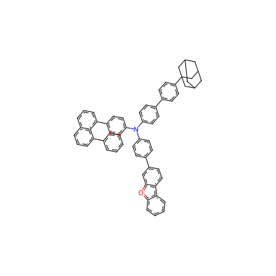 c1ccc(-c2cccc3cccc(-c4ccc(N(c5ccc(-c6ccc(C78CC9CC(CC(C9)C7)C8)cc6)cc5)c5ccc(-c6ccc7c(c6)oc6ccccc67)cc5)cc4)c23)cc1